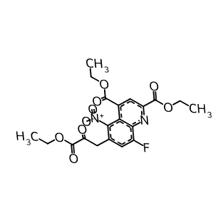 CCOC(=O)C(=O)Cc1cc(F)c2nc(C(=O)OCC)cc(C(=O)OCC)c2c1[N+](=O)[O-]